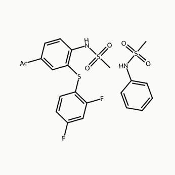 CC(=O)c1ccc(NS(C)(=O)=O)c(Sc2ccc(F)cc2F)c1.CS(=O)(=O)Nc1ccccc1